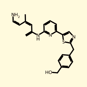 C=C(/C=C(C)\C=C/N)Nc1cccc(-c2cnc(Cc3ccc(CO)cc3)s2)n1